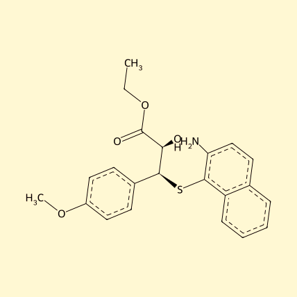 CCOC(=O)[C@@H](O)[C@@H](Sc1c(N)ccc2ccccc12)c1ccc(OC)cc1